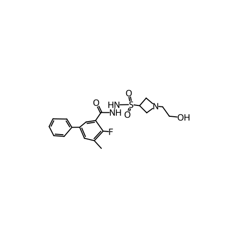 Cc1cc(-c2ccccc2)cc(C(=O)NNS(=O)(=O)C2CN(CCO)C2)c1F